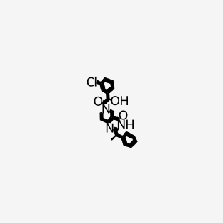 C[C@H](c1ccccc1)c1nc2c(c(=O)[nH]1)CN(C(=O)[C@H](O)c1cccc(Cl)c1)CC2